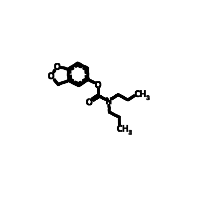 CCCN(CCC)C(=O)Oc1ccc2c(c1)COO2